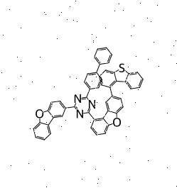 c1ccc(-c2ccc(-c3nc(-c4ccc5oc6ccccc6c5c4)nc(-c4cccc5oc6ccc(-c7cccc8sc9ccccc9c78)cc6c45)n3)cc2)cc1